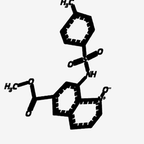 COC(=O)c1cc(NS(=O)(=O)c2ccc(C)cc2)c2c(ccc[n+]2[O-])c1